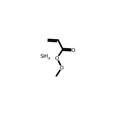 C=CC(=O)OOC.[SiH4]